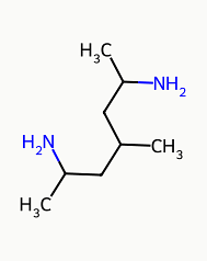 CC(N)CC(C)CC(C)N